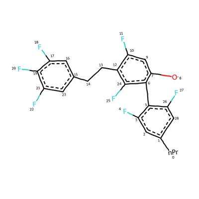 CCCc1cc(F)c(-c2c([O])cc(F)c(CCc3cc(F)c(F)c(F)c3)c2F)c(F)c1